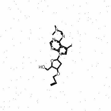 C=CCOC1CC(n2cc(I)c3c(/N=C\N(C)C)ncnc32)OC1CO